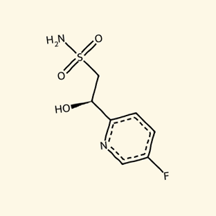 NS(=O)(=O)C[C@H](O)c1ccc(F)cn1